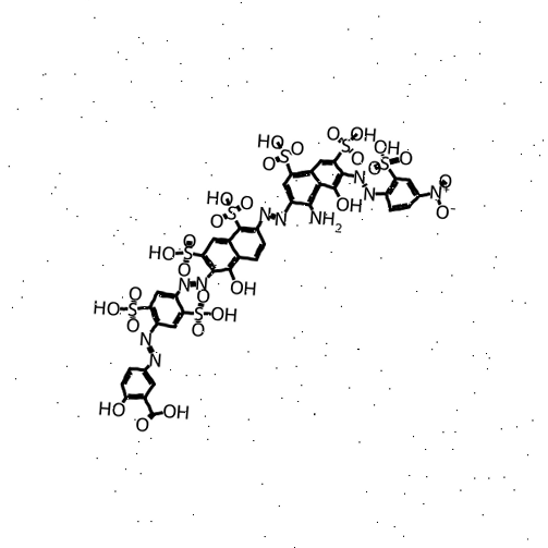 Nc1c(N=Nc2ccc3c(O)c(N=Nc4cc(S(=O)(=O)O)c(N=Nc5ccc(O)c(C(=O)O)c5)cc4S(=O)(=O)O)c(S(=O)(=O)O)cc3c2S(=O)(=O)O)cc(S(=O)(=O)O)c2cc(S(=O)(=O)O)c(N=Nc3ccc([N+](=O)[O-])cc3S(=O)(=O)O)c(O)c12